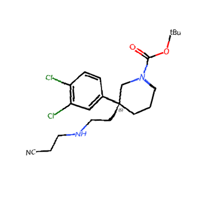 CC(C)(C)OC(=O)N1CCC[C@](CCNCCC#N)(c2ccc(Cl)c(Cl)c2)C1